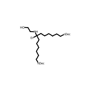 CCCCCCCCCCCCCCCCC(CC)(CCCCCCCCCCCCCCCC)NCCO